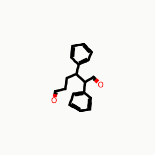 O=CCCC(c1ccccc1)C(C=O)c1ccccc1